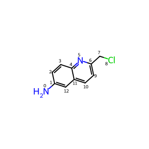 Nc1ccc2nc(CCl)ccc2c1